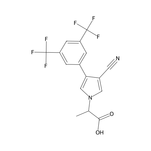 CC(C(=O)O)n1cc(C#N)c(-c2cc(C(F)(F)F)cc(C(F)(F)F)c2)c1